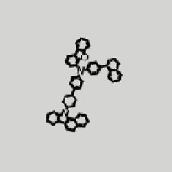 C1=CC(n2c3ccccc3c3ccc4ccccc4c32)CC=C1c1ccc(N(c2ccc(-c3cccc4ccccc34)cc2)c2cccc3c2oc2ccccc23)cc1